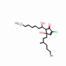 CC(C)CCCC(C)CCC1(O)C=C(Cl)C(=O)C1C(O)CCCCCC(=O)O